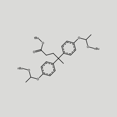 CCCCOC(C)Oc1ccc(C(C)(CCC(=O)OC(C)(C)C)c2ccc(OC(C)OCCCC)cc2)cc1